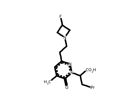 Cc1cc(CCN2CC(F)C2)nn(C(CC(C)C)C(=O)O)c1=O